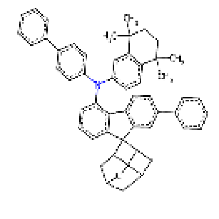 CC1(C)CCC(C)(C)c2cc(N(c3ccc(-c4ccccc4)cc3)c3cccc4c3-c3ccc(-c5ccccc5)cc3C43C4CC5CC6CC3C64C5)ccc21